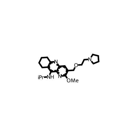 COc1nc2c(NC(C)C)c3c(nc2cc1COCCN1CCCC1)CCCC3